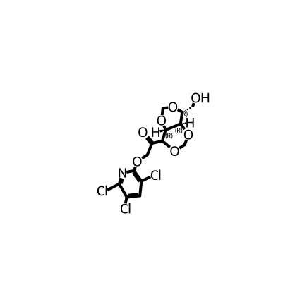 O=C(COc1nc(Cl)c(Cl)cc1Cl)C1OCO[C@@H]2[C@@H](CO)OCO[C@@H]12